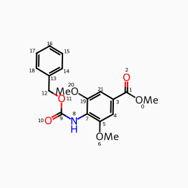 COC(=O)c1cc(OC)c(NC(=O)OCc2ccccc2)c(OC)c1